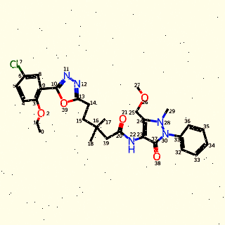 CCOc1ccc(Cl)cc1-c1nnc(CCC(C)(C)CC(=O)Nc2c(COC)n(C)n(-c3ccccc3)c2=O)o1